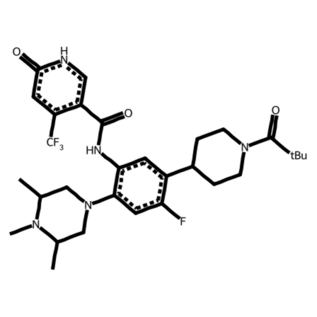 CC1CN(c2cc(F)c(C3CCN(C(=O)C(C)(C)C)CC3)cc2NC(=O)c2c[nH]c(=O)cc2C(F)(F)F)CC(C)N1C